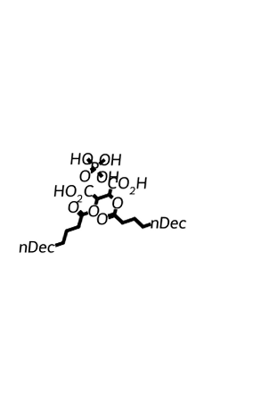 CCCCCCCCCCCCCC(=O)OC(C(=O)O)C(OC(=O)CCCCCCCCCCCCC)C(=O)O.O=P(O)(O)O